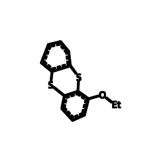 CCOc1cccc2c1Sc1ccccc1S2